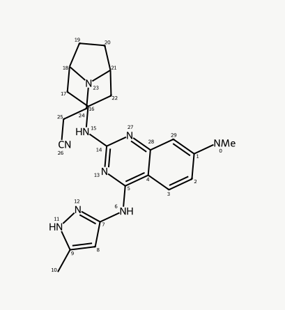 CNc1ccc2c(Nc3cc(C)[nH]n3)nc(NC3CC4CCC(C3)N4CCC#N)nc2c1